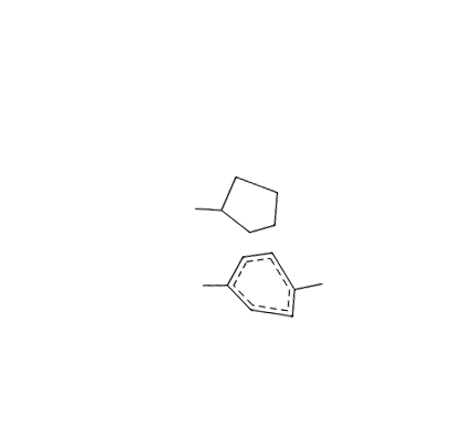 CC1CCCC1.Cc1ccc(C)cc1